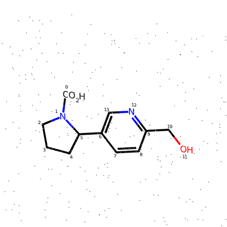 O=C(O)N1CCCC1c1ccc(CO)nc1